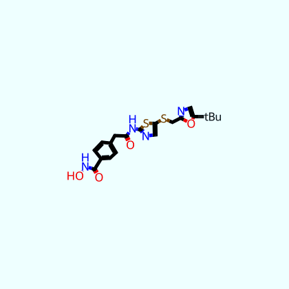 CC(C)(C)c1cnc(CSc2cnc(NC(=O)Cc3ccc(C(=O)NO)cc3)s2)o1